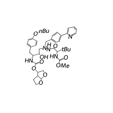 CCCCOc1ccc(CC(NC(=O)OC2COC3OCCC23)C(O)CN(Cc2ccc(-c3ccccn3)cc2)NC(=O)C(NC(=O)OC)C(C)(C)C)cc1